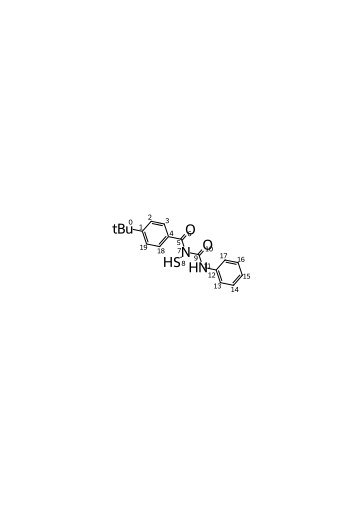 CC(C)(C)c1ccc(C(=O)N(S)C(=O)Nc2ccccc2)cc1